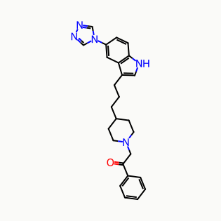 O=C(CN1CCC(CCCc2c[nH]c3ccc(-n4cnnc4)cc23)CC1)c1ccccc1